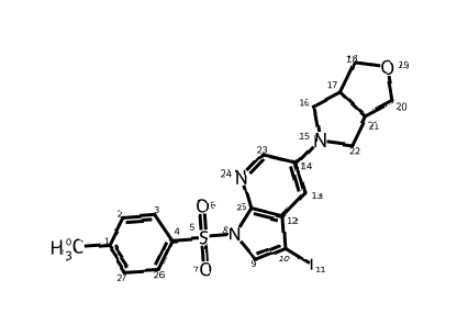 Cc1ccc(S(=O)(=O)n2cc(I)c3cc(N4CC5COCC5C4)cnc32)cc1